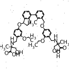 CCOc1cc(OCc2cccc(-c3cccc4c3CCC4Oc3ccc(CN[C@@](C)(CO)C(=O)O)c(OCC)c3)c2C)ccc1CN[C@@](C)(CO)C(=O)O